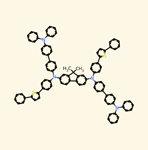 CC1(C)c2cc(N(c3ccc(-c4ccc(N(c5ccccc5)c5ccccc5)cc4)cc3)c3ccc(-c4ccc(-c5ccccc5)s4)cc3)ccc2-c2ccc(N(c3ccc(-c4ccc(N(c5ccccc5)c5ccccc5)cc4)cc3)c3ccc(-c4ccc(-c5ccccc5)s4)cc3)cc21